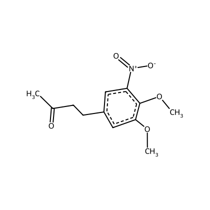 COc1cc(CCC(C)=O)cc([N+](=O)[O-])c1OC